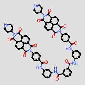 O=C(Nc1cccc(NC(=O)c2cccc(C(=O)Nc3cccc(NC(=O)c4ccc(N5C(=O)c6ccc7c8c(ccc(c68)C5=O)C(=O)N(c5ccncc5)C7=O)cc4)c3)c2)c1)c1ccc(N2C(=O)c3ccc4c5c(ccc(c35)C2=O)C(=O)N(c2ccncc2)C4=O)cc1